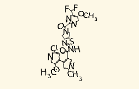 COc1cnc(Cl)cc1-c1cc(C)ncc1C(=O)Nc1nc2c(s1)CN(C(=O)c1ncc(OC)c(C(F)F)n1)C2